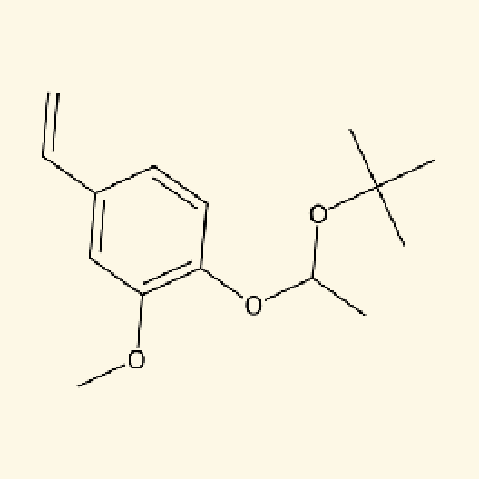 C=Cc1ccc(OC(C)OC(C)(C)C)c(OC)c1